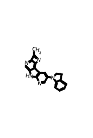 CC1=Nc2c1ncc1[nH]c3ncc(N4CCc5ccccc54)cc3c21